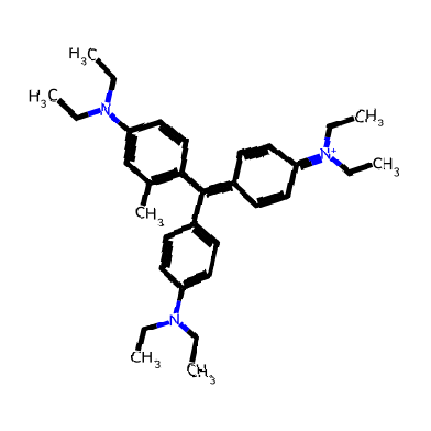 CCN(CC)c1ccc(C(=C2C=CC(=[N+](CC)CC)C=C2)c2ccc(N(CC)CC)cc2C)cc1